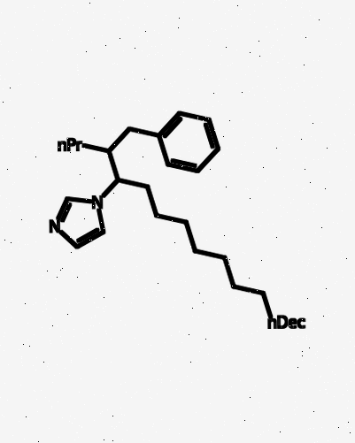 CCCCCCCCCCCCCCCCCC(C(CCC)Cc1ccccc1)n1ccnc1